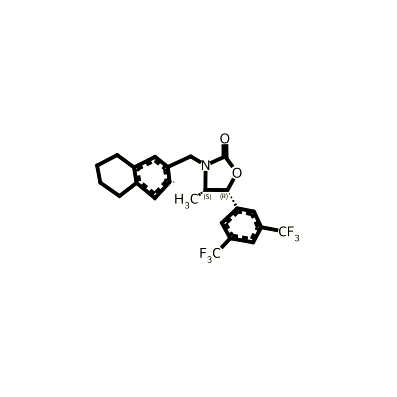 C[C@H]1[C@@H](c2cc(C(F)(F)F)cc(C(F)(F)F)c2)OC(=O)N1Cc1[c]cc2c(c1)CCCC2